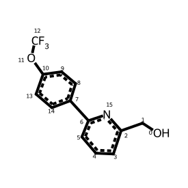 OCc1cccc(-c2ccc(OC(F)(F)F)cc2)n1